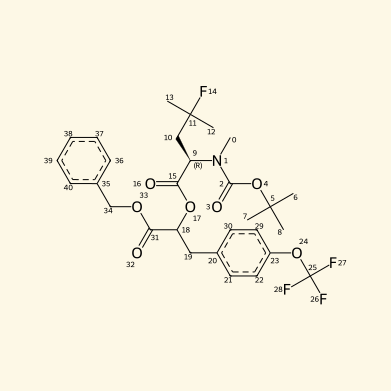 CN(C(=O)OC(C)(C)C)[C@H](CC(C)(C)F)C(=O)OC(Cc1ccc(OC(F)(F)F)cc1)C(=O)OCc1ccccc1